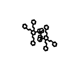 C(=Cc1cc(C=Cc2ccccc2)c(C=Cc2ccccc2)c(C23CC4CC(C2)CC(C25CC6CC(CC(c7cc(C=Cc8ccccc8)cc(C=Cc8ccccc8)c7C=Cc7ccccc7)(C6)C2)C5)(C4)C3)c1)c1ccccc1